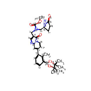 Cc1c(B2OC(C)(C)C(C)(C)O2)cccc1-c1ccn2c(=O)c(CN(C[C@@H]3CCC(=O)N3)C(=O)OC(C)(C)C)cnc2c1